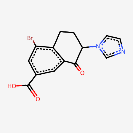 O=C(O)c1cc(Br)c2c(c1)C(=O)C(n1ccnc1)CC2